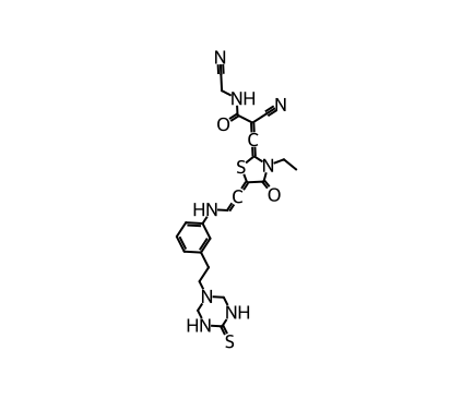 CCn1c(=C=C(C#N)C(=O)NCC#N)sc(=C=CNc2cccc(CCN3CNC(=S)NC3)c2)c1=O